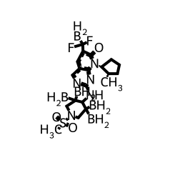 BC(F)(F)c1cc2cnc(NC3C(B)(B)CN(S(C)(=O)=O)CC3(B)B)nc2n([C@@H]2CCC[C@H]2C)c1=O